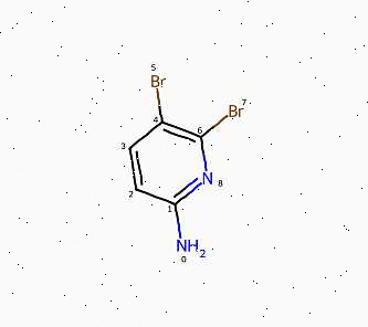 Nc1ccc(Br)c(Br)n1